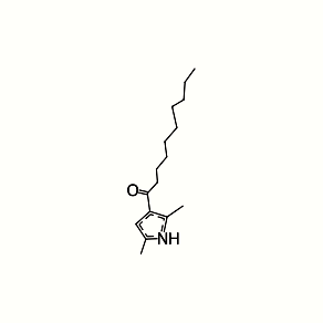 CCCCCCCCCC(=O)c1cc(C)[nH]c1C